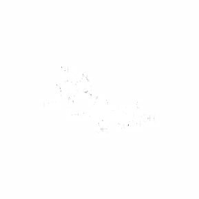 Nc1nc(O)nc2c1ncn2[C@@H]1O[C@H](C(O)OP(=O)(O)O)[C@@H](O)[C@@H]1O